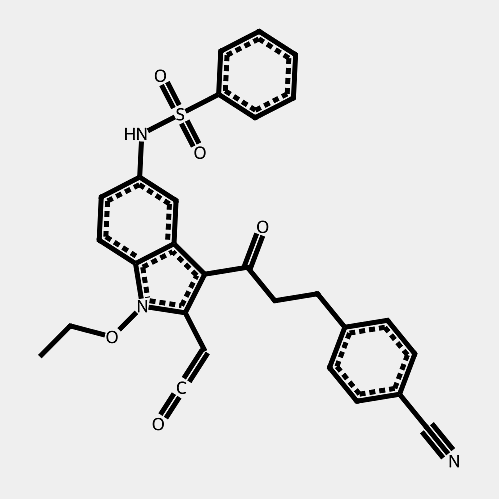 CCOn1c(C=C=O)c(C(=O)CCc2ccc(C#N)cc2)c2cc(NS(=O)(=O)c3ccccc3)ccc21